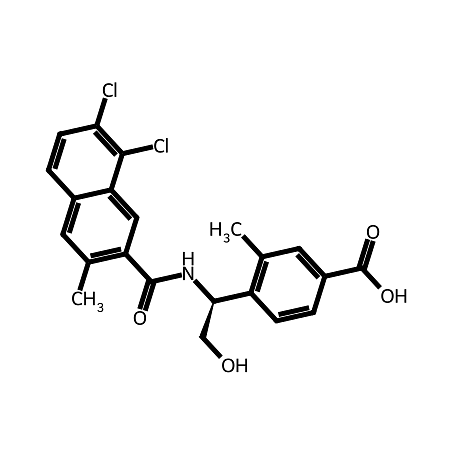 Cc1cc2ccc(Cl)c(Cl)c2cc1C(=O)N[C@H](CO)c1ccc(C(=O)O)cc1C